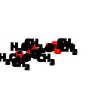 C=C(C)C(=O)Oc1ccc(C#Cc2cc(OC(=O)C(=C)C)c(-c3ccc(OC(=O)C(=C)C)cc3)cc2C)cc1